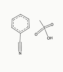 CS(=O)(=O)O.N#Cc1ccccc1